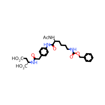 CC(=O)N[C@@H](CCCCNC(=O)OCc1ccccc1)C(=O)Nc1ccc(CC(=O)N[C@@H](CC(=O)O)C(=O)O)cc1